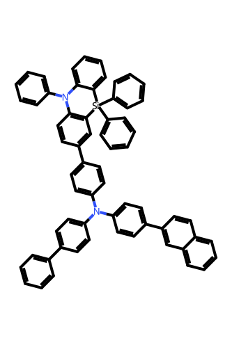 c1ccc(-c2ccc(N(c3ccc(-c4ccc5c(c4)[Si](c4ccccc4)(c4ccccc4)c4ccccc4N5c4ccccc4)cc3)c3ccc(-c4ccc5ccccc5c4)cc3)cc2)cc1